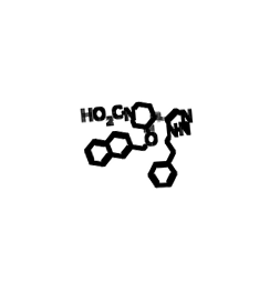 O=C(O)N1CC[C@H](c2cnnn2CCc2ccccc2)[C@@H](OCc2ccc3ccccc3c2)C1